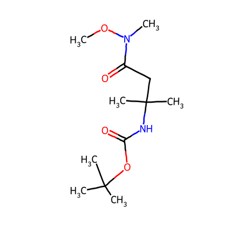 CON(C)C(=O)CC(C)(C)NC(=O)OC(C)(C)C